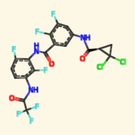 O=C(Nc1c(F)ccc(NC(=O)C(F)(F)F)c1F)c1cc(NC(=O)[C@H]2CC2(Cl)Cl)cc(F)c1F